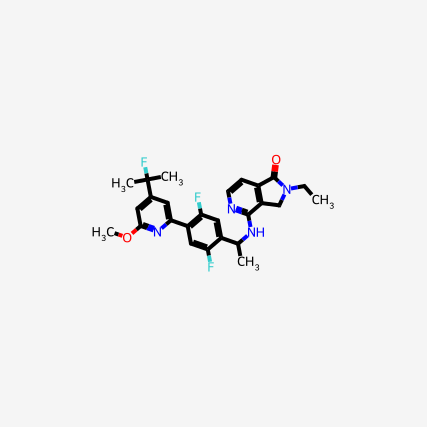 CCN1Cc2c(ccnc2NC(C)c2cc(F)c(-c3cc(C(C)(C)F)cc(OC)n3)cc2F)C1=O